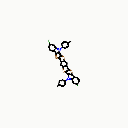 Cc1ccc(-n2c3cc(F)ccc3c3sc4c5cc6sc7c(sc8c9ccc(F)cc9n(-c9ccc(C)cc9)c87)c6cc5sc4c32)cc1